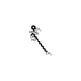 CCCCCCCCCCCCC(O)/C=C/C(O)C(CO)NC(=O)c1ccccc1C